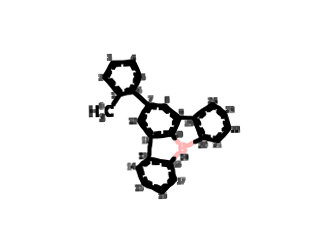 Cc1ccccc1-c1cc2c3c(c1)-c1ccccc1B3c1ccccc1-2